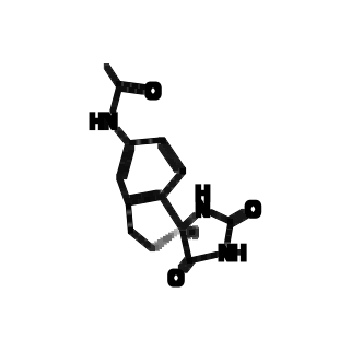 CC(=O)Nc1ccc2c(c1)CC[C@@]21NC(=O)NC1=O